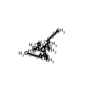 COCCOCCOCCOc1cc(C)c(-c2cc(CN3CCN(Cc4cc(-c5c(C)cc(OCCOCCOCCOC)cc5C)cc(C(=O)OC)n4)CCN(Cc4cc(-c5c(C)cccc5C)cc(C(=O)OS)n4)CC3)nc(C(=O)OC)c2)c(C)c1